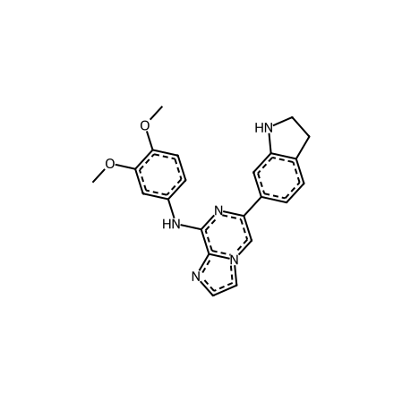 COc1ccc(Nc2nc(-c3ccc4c(c3)NCC4)cn3ccnc23)cc1OC